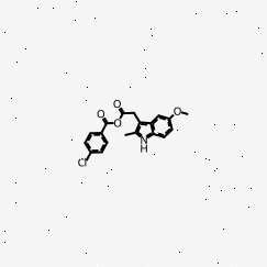 COc1ccc2[nH]c(C)c(CC(=O)OC(=O)c3ccc(Cl)cc3)c2c1